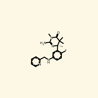 CN1C(=O)C(C)(C)[C@@](C)(c2cc(NCc3ccccn3)ccc2F)N=C1N